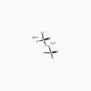 O.O=P([O-])([O-])[O-].O=P([O-])([O-])[O-].[Mo+6]